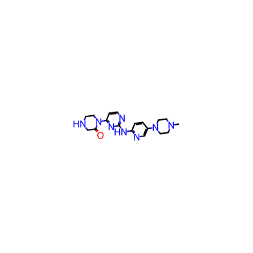 CN1CCN(c2ccc(Nc3nccc(N4CCNCC4=O)n3)nc2)CC1